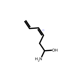 C=C/C=C\CC(N)O